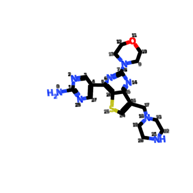 Nc1ncc(-c2nc(N3CCOCC3)nc3c(CN4CCNCC4)csc23)cn1